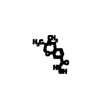 C[C@H]1COc2cc(C(=O)NO)ccc2CN1C